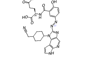 N#CCC1CCC(n2c(/N=N/c3ccc(O)c(C(=O)N[C@H](CCC(=O)O)C(=O)O)c3)nc3cnc4[nH]ccc4c32)CC1